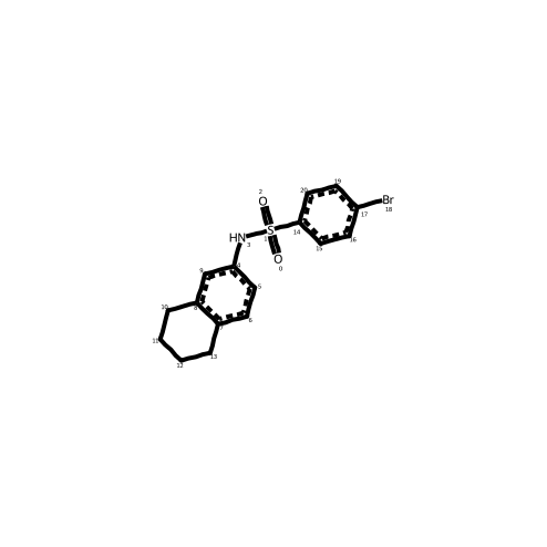 O=S(=O)(Nc1ccc2c(c1)CCCC2)c1ccc(Br)cc1